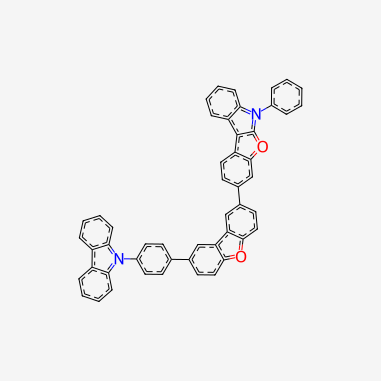 c1ccc(-n2c3ccccc3c3c4ccc(-c5ccc6oc7ccc(-c8ccc(-n9c%10ccccc%10c%10ccccc%109)cc8)cc7c6c5)cc4oc32)cc1